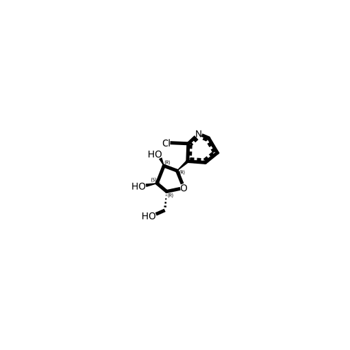 OC[C@H]1O[C@H](c2cccnc2Cl)[C@H](O)[C@@H]1O